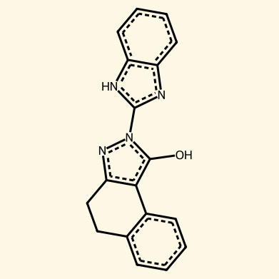 Oc1c2c(nn1-c1nc3ccccc3[nH]1)CCc1ccccc1-2